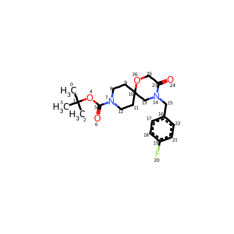 CC(C)(C)OC(=O)N1CCC2(CC1)CN(Cc1ccc(F)cc1)C(=O)CO2